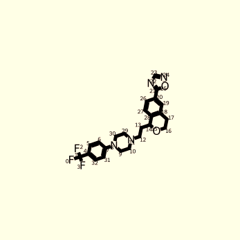 FC(F)(F)c1ccc(N2CCN(CCC3OCCc4cc(-c5ncno5)ccc43)CC2)cc1